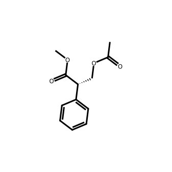 COC(=O)[C@H](COC(C)=O)c1ccccc1